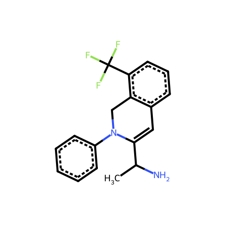 CC(N)C1=Cc2cccc(C(F)(F)F)c2CN1c1ccccc1